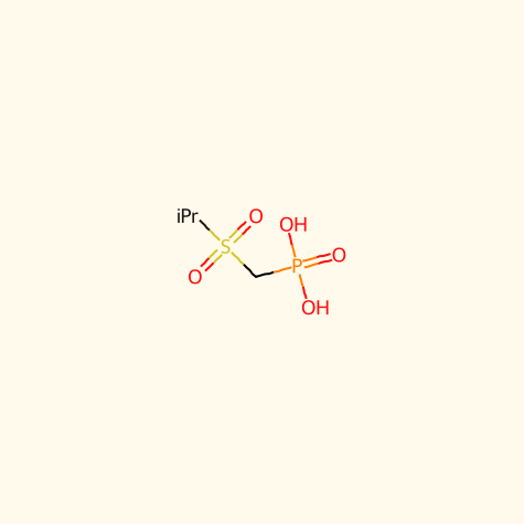 CC(C)S(=O)(=O)CP(=O)(O)O